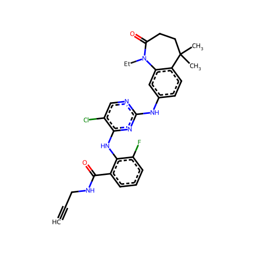 C#CCNC(=O)c1cccc(F)c1Nc1nc(Nc2ccc3c(c2)N(CC)C(=O)CCC3(C)C)ncc1Cl